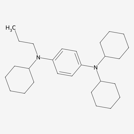 CCCN(c1ccc(N(C2CCCCC2)C2CCCCC2)cc1)C1CCCCC1